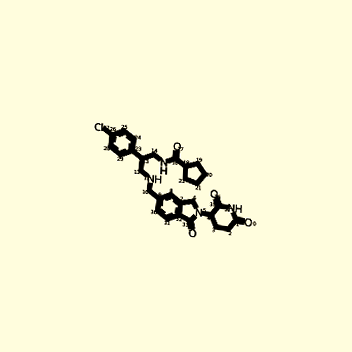 O=C1CCC(N2Cc3cc(CNCC(CNC(=O)C4CCCC4)c4ccc(Cl)cc4)ccc3C2=O)C(=O)N1